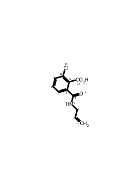 C=CCNC(=O)c1cccc(Cl)c1C(=O)O